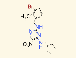 Cc1c(Br)cccc1CNc1ncc([N+](=O)[O-])c(NCC2CCCCC2)n1